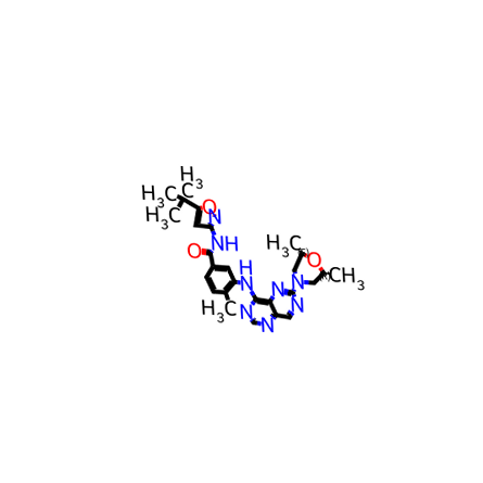 Cc1ccc(C(=O)Nc2cc(C(C)(C)C)on2)cc1Nc1ncnc2cnc(N3C[C@@H](C)O[C@@H](C)C3)nc12